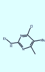 CCCCc1c(C)nc(NCC)nc1Cl